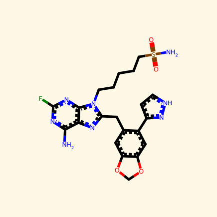 Nc1nc(F)nc2c1nc(Cc1cc3c(cc1-c1cc[nH]n1)OCO3)n2CCCCCS(N)(=O)=O